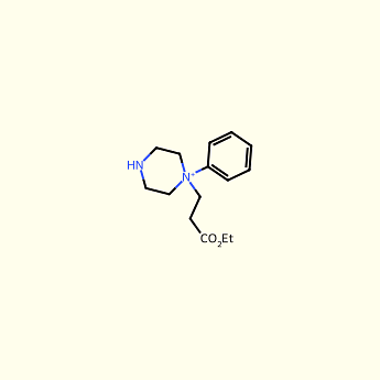 CCOC(=O)CC[N+]1(c2ccccc2)CCNCC1